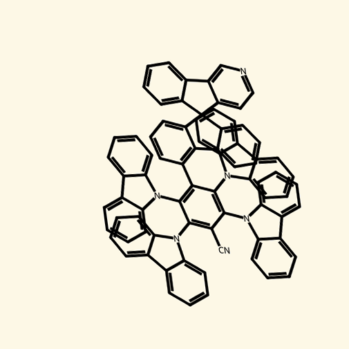 N#Cc1c(-n2c3ccccc3c3ccccc32)c(-n2c3ccccc3c3ccccc32)c(-c2cccc3c2-c2ccccc2C32c3ccccc3-c3cnccc32)c(-n2c3ccccc3c3ccccc32)c1-n1c2ccccc2c2ccccc21